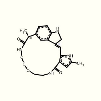 Cc1cc2c([nH]1)/C=C1\CNc3ccc(cc31)[C@H](C)C(=O)NCCOCCNC2=O